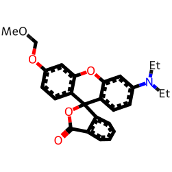 CCN(CC)c1ccc2c(c1)Oc1cc(OCOC)ccc1C21OC(=O)c2ccccc21